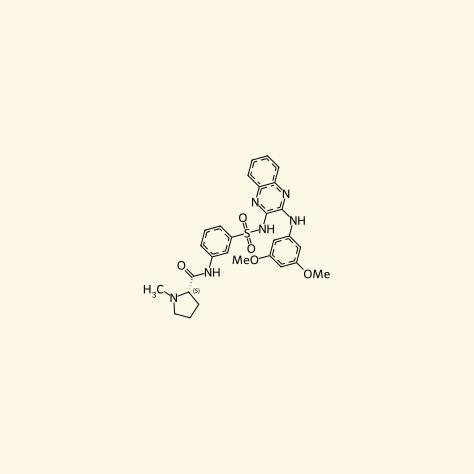 COc1cc(Nc2nc3ccccc3nc2NS(=O)(=O)c2cccc(NC(=O)[C@@H]3CCCN3C)c2)cc(OC)c1